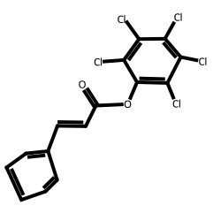 O=C(C=Cc1ccccc1)Oc1c(Cl)c(Cl)c(Cl)c(Cl)c1Cl